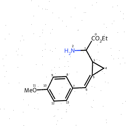 CCOC(=O)C(N)C1C/C1=C/c1ccc(OC)cc1